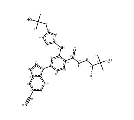 CC(C)(O)Cn1cc(Nc2cc(-n3ncc4cc(C#N)cnc43)ncc2C(=O)NCC(F)C(C)(C)O)cn1